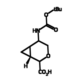 CC(C)(C)OC(=O)NC1COC(C(=O)O)[C@@H]2CC12